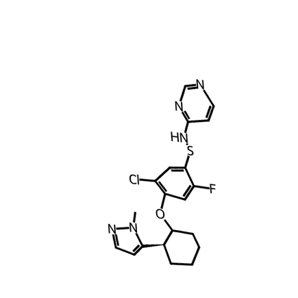 Cn1nccc1[C@@H]1CCCCC1Oc1cc(F)c(SNc2ccncn2)cc1Cl